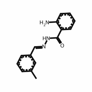 Cc1cccc(C=NNC(=O)c2ccccc2N)c1